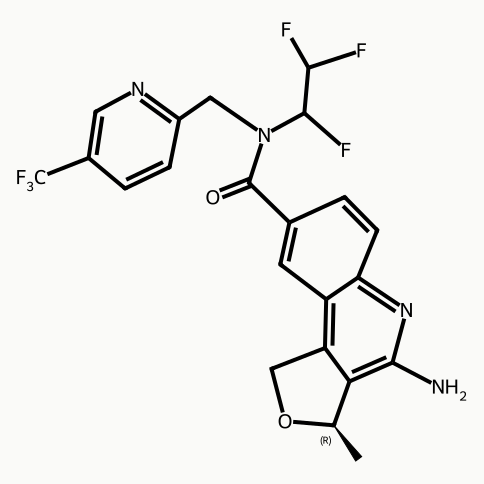 C[C@H]1OCc2c1c(N)nc1ccc(C(=O)N(Cc3ccc(C(F)(F)F)cn3)C(F)C(F)F)cc21